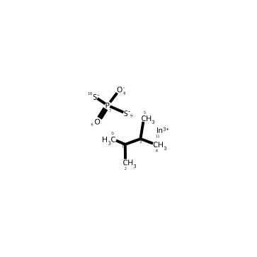 CC(C)C(C)C.O=P([O-])([S-])[S-].[In+3]